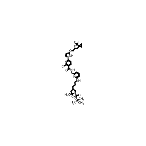 CC(C)(C)OC(=O)N1CC(CCCNc2cccc(SNC(=O)c3ccc(N4C=CC(OCCCC5(C(F)(F)F)CC5)N4)nc3Cl)n2)CC1(C)C